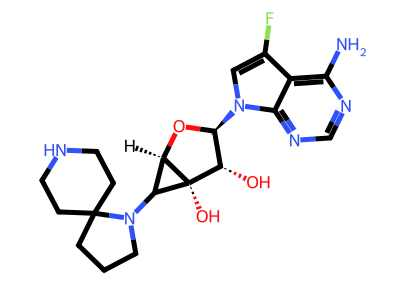 Nc1ncnc2c1c(F)cn2[C@@H]1O[C@@H]2C(N3CCCC34CCNCC4)[C@]2(O)[C@H]1O